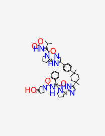 COC(=O)N[C@H](C(=O)N1CCC[C@H]1c1ncc(-c2ccc(C3(C)CCC(C)(c4cnc([C@@H]5CCCN5C(=O)[C@H](NC(=O)N5CC[C@@H](O)C5)c5ccccc5)[nH]4)CC3)cc2)[nH]1)C(C)C